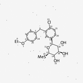 CCOc1ccc(Cc2cc([C@@H]3O[C@H](SC)C(O)[C@H](O)[C@H]3O)ccc2Cl)cc1